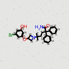 CC(C)(CCC(C(N)=O)(c1ccccc1)c1ccccc1)N1CC(Oc2cc(O)cc(Br)c2)C1